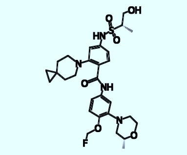 C[C@@H]1CN(c2cc(NC(=O)c3ccc(NS(=O)(=O)[C@@H](C)CO)cc3N3CCC4(CC3)CC4)ccc2OCF)CCO1